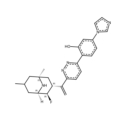 C=C(c1ccc(-c2ccc(-n3ccnc3)cc2O)nn1)[C@H]1C[C@]2(C)CC(C)C[C@@H](N2)[C@@H]1F